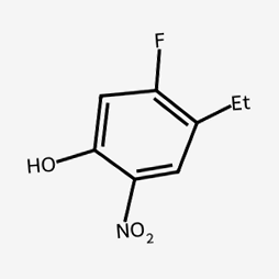 CCc1cc([N+](=O)[O-])c(O)cc1F